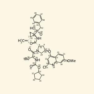 C=C[C@@H]1C[C@]1(NC(=O)[C@@H]1C[C@@H](Oc2cc(Cl)nc3cc(OC)ccc23)CN1C(=O)C(NC(=O)OC1CCCC1)C(C)(C)C)P(=O)(O)Cc1ccccc1